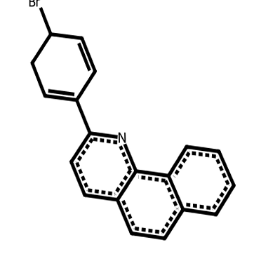 BrC1C=CC(c2ccc3ccc4ccccc4c3n2)=CC1